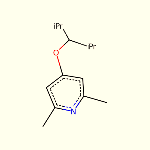 Cc1cc(OC(C(C)C)C(C)C)cc(C)n1